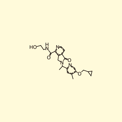 Cc1cc(C(C)N2Cc3c(ccnc3C(=O)NCCO)C2=O)ncc1OCC1CC1